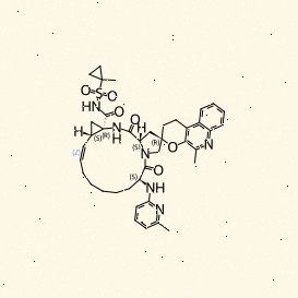 Cc1cccc(N[C@H]2CCCCC/C=C\[C@@H]3C[C@@]3(C(=O)NS(=O)(=O)C3(C)CC3)NC(=O)[C@@H]3C[C@]4(CCc5c(c(C)nc6ccccc56)O4)CN3C2=O)n1